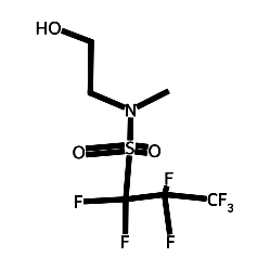 CN(CCO)S(=O)(=O)C(F)(F)C(F)(F)C(F)(F)F